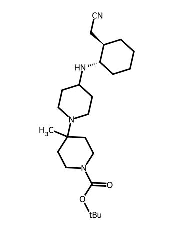 CC(C)(C)OC(=O)N1CCC(C)(N2CCC(N[C@H]3CCCC[C@@H]3CC#N)CC2)CC1